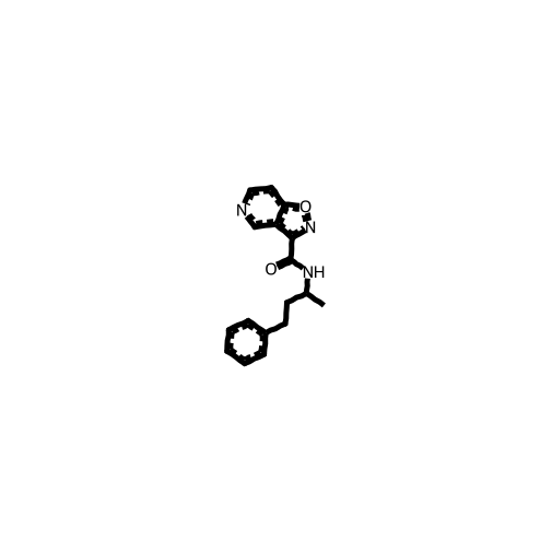 CC(CCc1ccccc1)NC(=O)c1noc2ccncc12